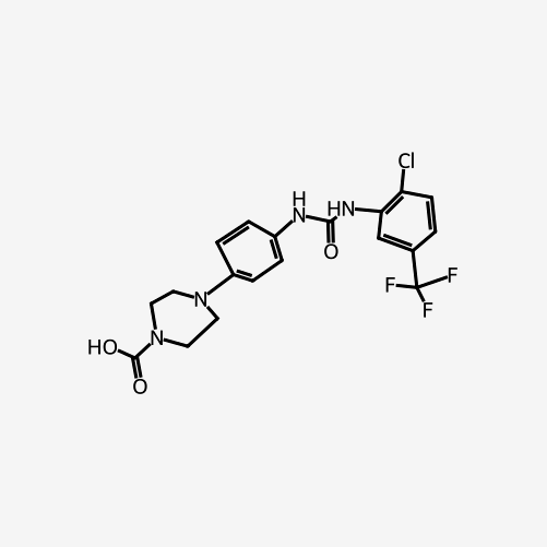 O=C(Nc1ccc(N2CCN(C(=O)O)CC2)cc1)Nc1cc(C(F)(F)F)ccc1Cl